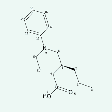 CCC[C@@H](CC(=O)O)CN(CC)c1ccccc1